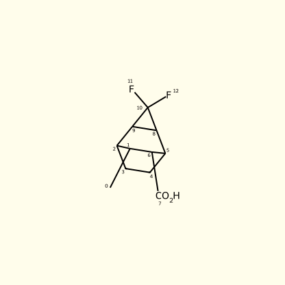 CC1C2CCC(C1C(=O)O)C1C2C1(F)F